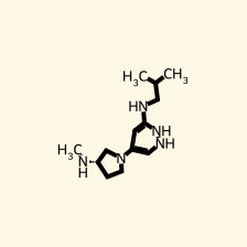 CN[C@H]1CCN(C2=CNNC(NCC(C)C)=C2)C1